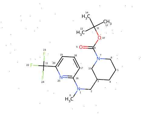 CN(CC1CCCN(C(=O)OC(C)(C)C)C1)c1cccc(C(F)(F)F)n1